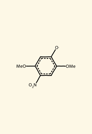 COc1cc([N+](=O)[O-])c(OC)cc1[O]